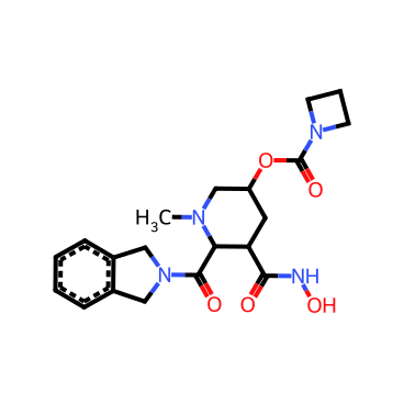 CN1CC(OC(=O)N2CCC2)CC(C(=O)NO)C1C(=O)N1Cc2ccccc2C1